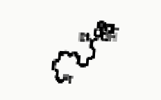 CC/C=C\C/C=C\C/C=C\C/C=C\C/C=C\C/C=C\CC(CC)COP(=O)(O)O